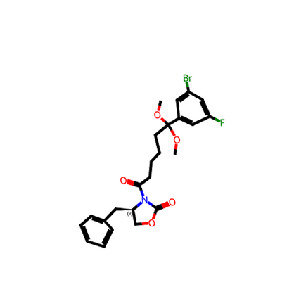 COC(CCCCC(=O)N1C(=O)OC[C@H]1Cc1ccccc1)(OC)c1cc(F)cc(Br)c1